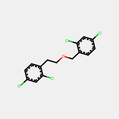 Clc1ccc(C[CH]OCc2ccc(Cl)cc2Cl)c(Cl)c1